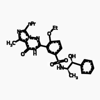 CCCc1nc(C)c2c(=O)[nH]c(-c3cc(S(=O)(=O)N[C@@H](C)[C@H](O)c4ccccc4)ccc3OCC)nn12